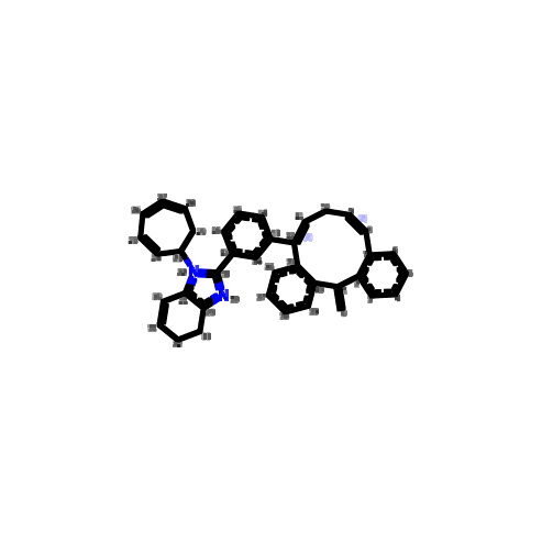 C=C1c2ccccc2/C=C\C/C=C(/c2cccc(-c3nc4c(n3C3C=CC=C=CC3)C=CCC4)c2)c2ccccc21